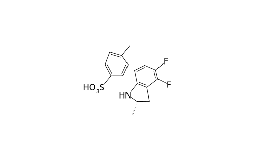 C[C@H]1Cc2c(ccc(F)c2F)N1.Cc1ccc(S(=O)(=O)O)cc1